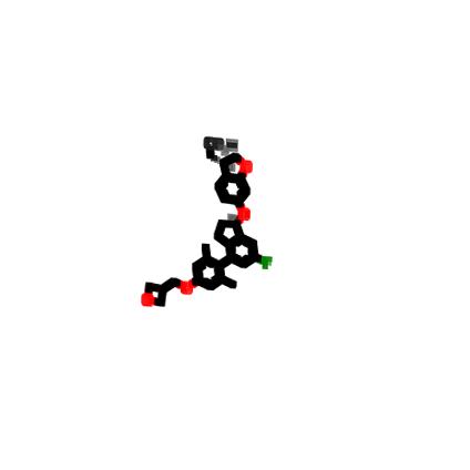 Cc1cc(OCC2COC2)cc(C)c1-c1cc(F)cc2c1CC[C@H]2Oc1ccc2c(c1)OC[C@H]2CC(=O)O